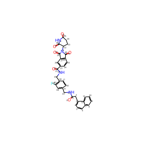 O=C(Cc1cccc2ccccc12)NCc1ccc(CNC(=O)c2ccc3c(c2)C(=O)N(C2CCC(=O)NC2=O)C3=O)c(F)c1